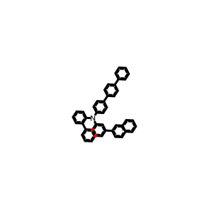 c1ccc(-c2ccc(-c3ccc(N(c4cccc(-c5ccc6ccccc6c5)c4)c4ccccc4-c4ccccc4)cc3)cc2)cc1